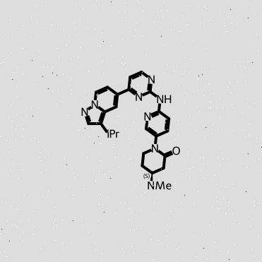 CN[C@H]1CCN(c2ccc(Nc3nccc(-c4ccn5ncc(C(C)C)c5c4)n3)nc2)C(=O)C1